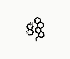 CCc1cccc2c3c(ccc12)C1=C(CCC=C1)CC3.c1cnc2ccncc2c1